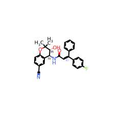 CC1(C)Oc2ccc(C#N)cc2[C@H](NC(=O)/C=C(\c2ccccc2)c2ccc(F)cc2)[C@H]1O